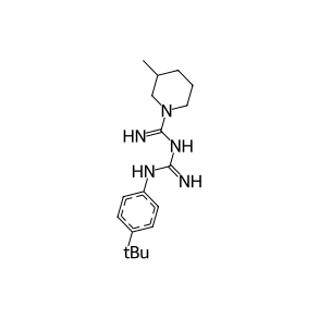 CC1CCCN(C(=N)NC(=N)Nc2ccc(C(C)(C)C)cc2)C1